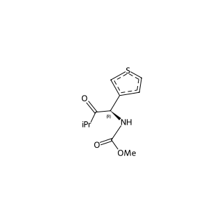 COC(=O)N[C@@H](C(=O)C(C)C)c1ccsc1